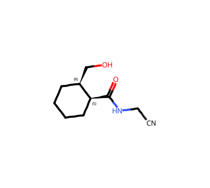 N#CCNC(=O)[C@H]1CCCC[C@H]1CO